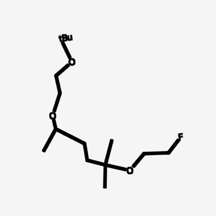 CC(CCC(C)(C)OCCF)OCCOC(C)(C)C